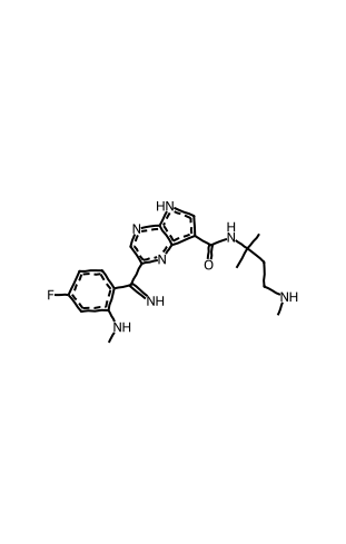 CNCCC(C)(C)NC(=O)c1c[nH]c2ncc(C(=N)c3ccc(F)cc3NC)nc12